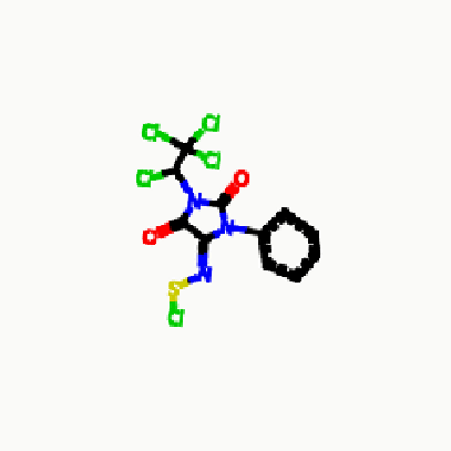 O=C1C(=NSCl)N(c2ccccc2)C(=O)N1C(Cl)C(Cl)(Cl)Cl